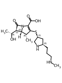 CNCCC[C@@H]1C[C@H](SC2=C(C(=O)O)N3C(=O)[C@H]([C@@H](C)O)[C@H]3[C@H]2C)CN1